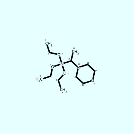 CCO[Si](OCC)(OCC)C(C)N1CCOCC1